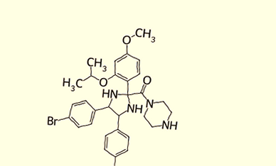 COc1ccc(C2(C(=O)N3CCNCC3)NC(c3ccc(Br)cc3)C(c3ccc(Br)cc3)N2)c(OC(C)C)c1